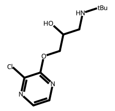 CC(C)(C)NCC(O)COc1nccnc1Cl